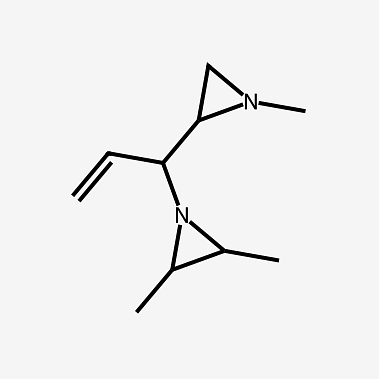 C=CC(C1CN1C)N1C(C)C1C